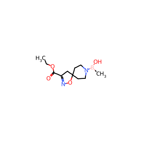 CCOC(=O)C1=NOC2(CCN(B(C)O)CC2)C1